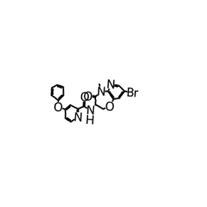 CN1C(=O)[C@@H](NC(=O)c2cc(Oc3ccccc3)ccn2)COc2cc(Br)cnc21